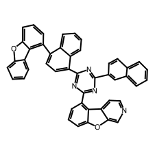 c1ccc2cc(-c3nc(-c4ccc(-c5cccc6oc7ccccc7c56)c5ccccc45)nc(-c4cccc5oc6cnccc6c45)n3)ccc2c1